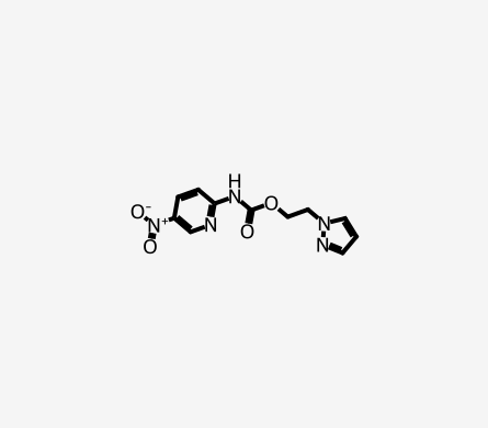 O=C(Nc1ccc([N+](=O)[O-])cn1)OCCn1cccn1